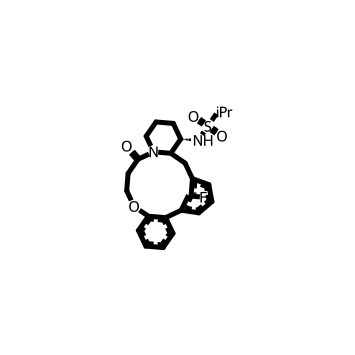 CC(C)S(=O)(=O)N[C@H]1CCCN2C(=O)CCOc3ccccc3-c3cccc(c3F)CC12